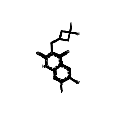 O=c1[nH]c2cc(F)c(Br)cc2c(=O)n1CC1CC(F)(F)C1